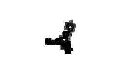 COc1cc(OCc2ccccc2)cc2sc(Br)nc12